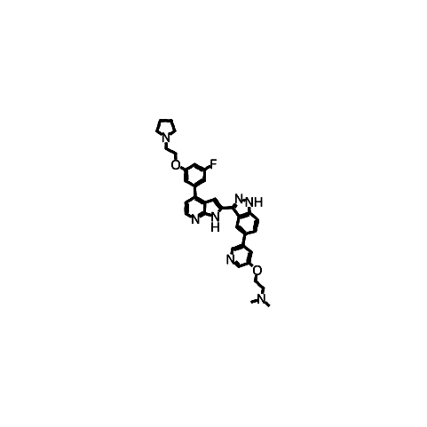 CN(C)CCOc1cncc(-c2ccc3[nH]nc(-c4cc5c(-c6cc(F)cc(OCCN7CCCC7)c6)ccnc5[nH]4)c3c2)c1